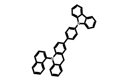 c1ccc2c(c1)Cc1cc(-c3ccc(-n4c5ccccc5c5ccccc54)cc3)ccc1N2c1cccc2ccccc12